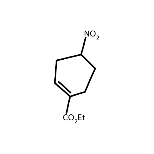 CCOC(=O)C1=CCC([N+](=O)[O-])CC1